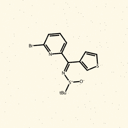 CC(C)(C)[S+]([O-])/N=C(\c1ccsc1)c1cccc(Br)n1